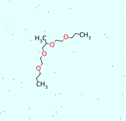 CCCOCCOCC(C)OCCOCCC